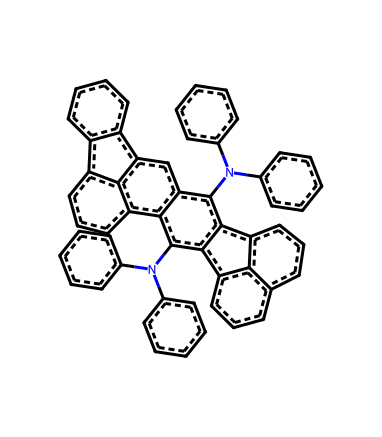 c1ccc(N(c2ccccc2)c2c3cc4c5ccccc5c5cccc(c3c(N(c3ccccc3)c3ccccc3)c3c6cccc7cccc(c23)c76)c54)cc1